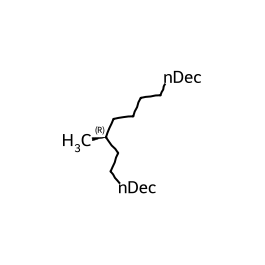 CCCCCCCCCCCCCC[C@H](C)CCCCCCCCCCCC